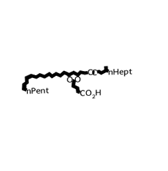 CCCCC/C=C\C/C=C\CCCCCCCCC(CCCCCCCCC(C)CCCCCCC)OC(=O)CCCC(=O)O